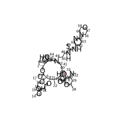 CC[C@H]1OC(=O)[C@H](C)[C@@H](O[C@@H](CCOC)O[C@@H](C)[C@@H](C)O)[C@H](C)[C@@H](O[C@@H]2O[C@H](C)C[C@H](N(C)C)[C@H]2O)[C@](C)(O)C[C@@H](C)CN(CCCNC(=S)Nc2ccc(N3CCOCC3)nc2)[C@H](C)[C@@H](O)[C@]1(C)O